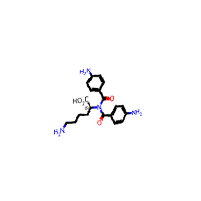 NCCCC[C@@H](C(=O)O)N(C(=O)c1ccc(N)cc1)C(=O)c1ccc(N)cc1